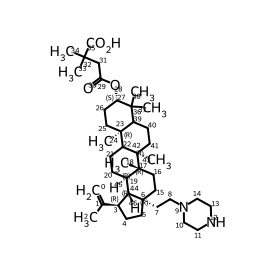 C=C(C)[C@@H]1CC[C@]2(CCN3CCNCC3)CC[C@]3(C)[C@H](CCC4[C@@]5(C)CC[C@H](OC(=O)CC(C)(C)C(=O)O)C(C)(C)C5CC[C@]43C)[C@@H]12